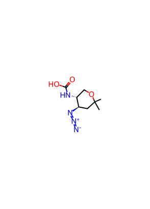 CC1(C)C[C@@H](N=[N+]=[N-])[C@H](NC(=O)O)CO1